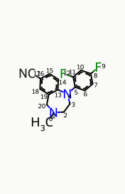 CN1CCN(c2ccc(F)cc2F)c2ccc(C#N)cc2C1